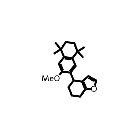 COc1cc2c(cc1C1CCCc3occc31)C(C)(C)CCC2(C)C